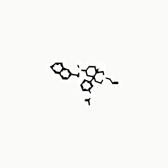 C=CCN1CCC2(c3cccc(OC(C)=O)c3)CC(N(C)C(=O)c3ccc4ccccc4c3)CCC2(O)C1